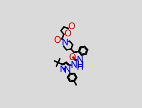 Cc1ccc(-n2nc(C(C)(C)C)cc2NC(=O)Nc2ccccc2CC2CCN(C(=O)C3CCC(=O)O3)CC2)cc1